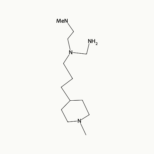 CNCCN(CN)CCCC1CCN(C)CC1